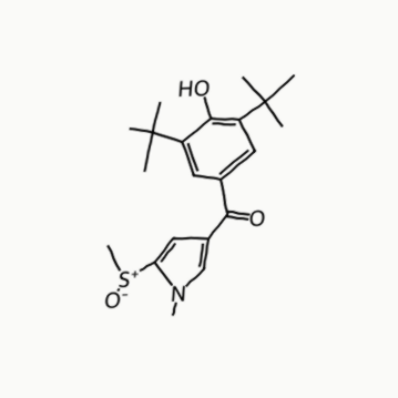 Cn1cc(C(=O)c2cc(C(C)(C)C)c(O)c(C(C)(C)C)c2)cc1[S+](C)[O-]